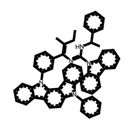 CC/C(C)=C(\N=C(/NC(C)c1ccccc1)n1c2ccccc2c2ccccc21)c1cccc(-n2c3ccccc3c3ccc4c(c5ccccc5n4-c4ccccc4)c32)c1